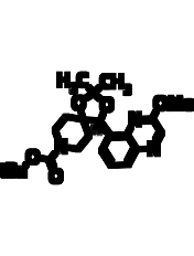 COc1cnc2cccc([C@@H]3OC(C)(C)OC34CCN(C(=O)OC(C)(C)C)CC4)c2n1